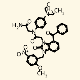 CCN(CC)c1ccc(N(CC(N)=O)C(=O)Cn2c(=O)n(Cc3cc([N+](=O)[O-])ccc3OC)c3cccc(C(=O)c4ccccc4)c32)cc1